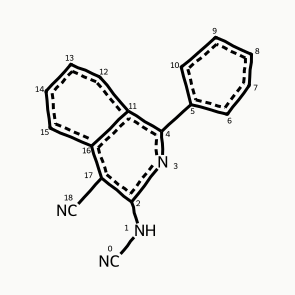 N#CNc1nc(-c2ccccc2)c2ccccc2c1C#N